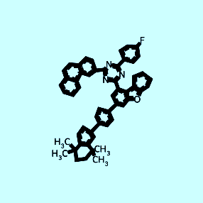 CC1(C)CCC(C)(C)c2cc(-c3ccc(-c4cc(-c5nc(-c6ccc(F)cc6)nc(-c6ccc7ccc8ccccc8c7c6)n5)c5c(c4)oc4ccccc45)cc3)ccc21